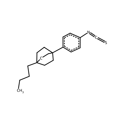 CCCCC12CCC(c3ccc(N=C=S)cc3)(CC1)CC2